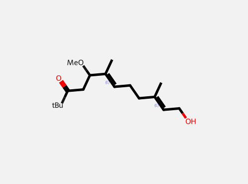 COC(CC(=O)C(C)(C)C)/C(C)=C/CC/C(C)=C/CO